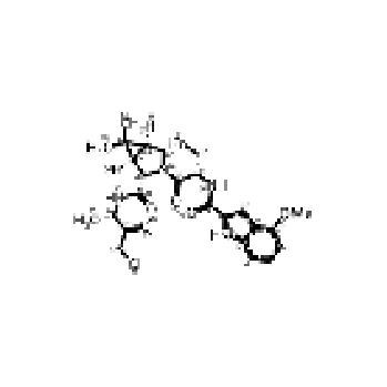 COc1cccc2[nH]c(C(=O)N[C@@H](CC(C)C)C(=O)N3C[C@H]4[C@@H]([C@H]3C(=O)N[C@@H](C)C(=O)CCl)C4(C)C)cc12